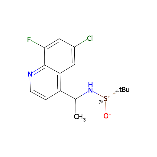 CC(N[S@@+]([O-])C(C)(C)C)c1ccnc2c(F)cc(Cl)cc12